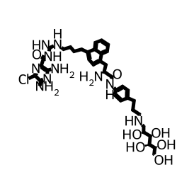 N=C(NCCCCc1ccc(C[C@H](N)C(=O)Nc2ccc(CCCNC[C@H](O)[C@@H](O)[C@H](O)[C@H](O)CO)cc2)c2ccccc12)NC(=O)c1nc(Cl)c(N)nc1N